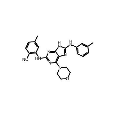 Cc1cccc(Nc2nc3c(N4CCOCC4)nc(Nc4cc(C)ccc4C#N)nc3[nH]2)c1